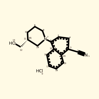 Cl.N#Cc1ccc(N2CCC[C@@H](CO)C2)c2ccccc12